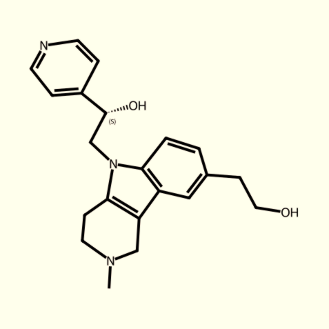 CN1CCc2c(c3cc(CCO)ccc3n2C[C@@H](O)c2ccncc2)C1